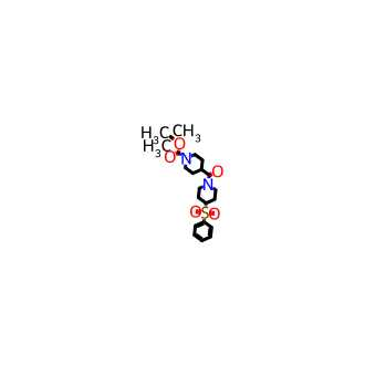 CC(C)(C)OC(=O)N1CCC(C(=O)N2CCC(S(=O)(=O)c3ccccc3)CC2)CC1